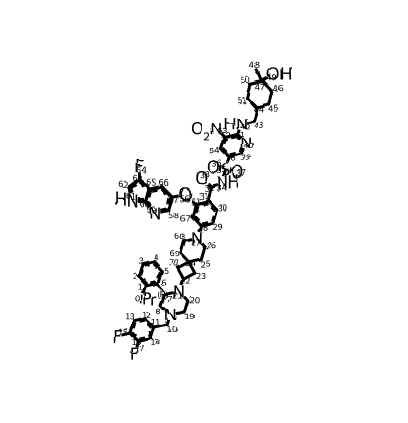 CC(C)c1ccccc1[C@@H]1CN(Cc2ccc(F)c(F)c2)CCN1C1CC2(CCN(c3ccc(C(=O)NS(=O)(=O)c4cnc(NCC5CCC(C)(O)CC5)c([N+](=O)[O-])c4)c(Oc4cnc5[nH]cc(F)c5c4)c3)CC2)C1